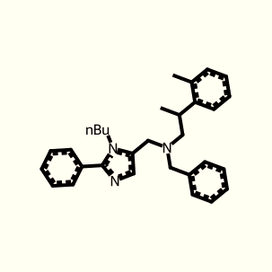 CCCCn1c(CN(Cc2ccccc2)CC(C)c2ccccc2C)cnc1-c1ccccc1